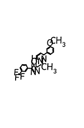 COc1cccc(-c2ccc(=O)n(C(C)c3nnc(-c4cccc(C(F)(F)F)c4)[nH]3)n2)c1